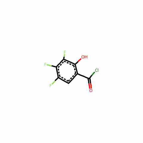 O=C(Cl)c1cc(F)c(F)c(F)c1O